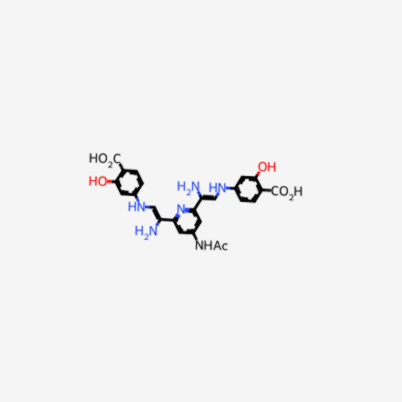 CC(=O)Nc1cc(/C(N)=C/Nc2ccc(C(=O)O)c(O)c2)nc(/C(N)=C/Nc2ccc(C(=O)O)c(O)c2)c1